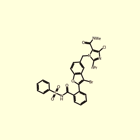 CCCc1nc(Cl)c(C(=O)NC)n1Cc1ccc2oc(-c3ccccc3C(=O)NS(=O)(=O)c3ccccc3)c(Br)c2c1